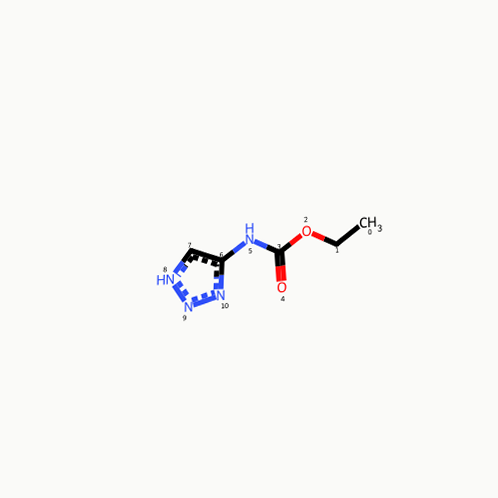 CCOC(=O)Nc1c[nH]nn1